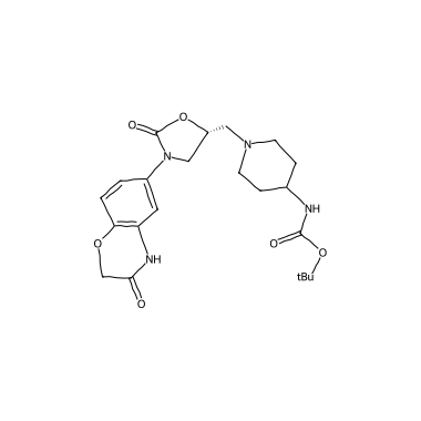 CC(C)(C)OC(=O)NC1CCN(C[C@@H]2CN(c3ccc4c(c3)NC(=O)CO4)C(=O)O2)CC1